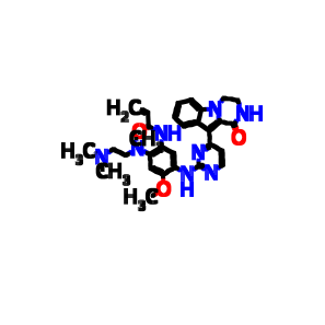 C=CC(=O)Nc1cc(Nc2nccc(-c3c4n(c5ccccc35)CCNC4=O)n2)c(OC)cc1N(C)CCN(C)C